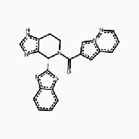 O=C(c1cc2cccnn2c1)N1CCc2[nH]cnc2[C@H]1c1nc2ccccc2s1